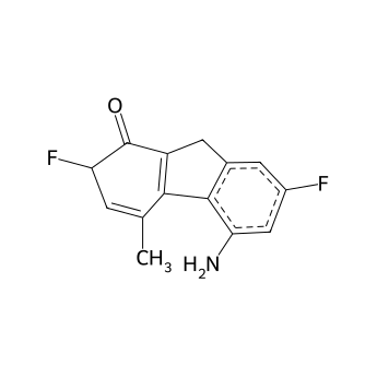 CC1=CC(F)C(=O)C2=C1c1c(N)cc(F)cc1C2